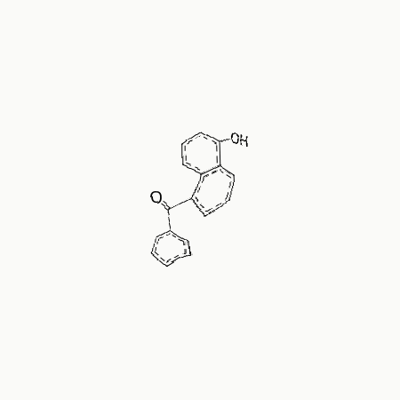 O=C(c1ccccc1)c1cccc2c(O)cccc12